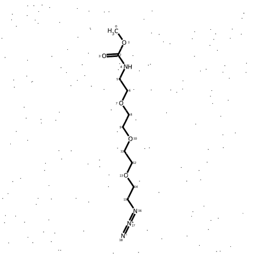 COC(=O)NCCOCCOCCOCCN=[N+]=[N-]